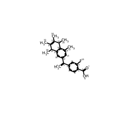 C=C(c1ccc(C(=O)O)c(F)c1)c1cc(C)c2c(c1)C(C)C(C)=C(C)C2C